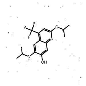 CC(C)Nc1cc2c(C(F)(F)F)cc(OC(C)C)nc2cc1O